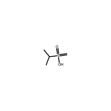 C=S(=O)(O)C(C)C